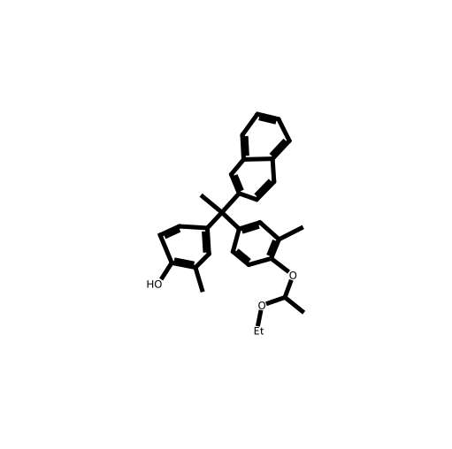 CCOC(C)Oc1ccc(C(C)(c2ccc(O)c(C)c2)c2ccc3ccccc3c2)cc1C